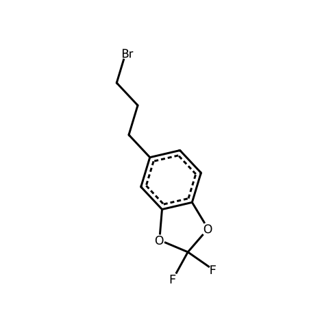 FC1(F)Oc2ccc(CCCBr)cc2O1